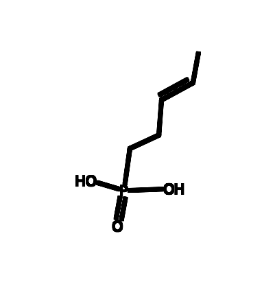 CC=CCCP(=O)(O)O